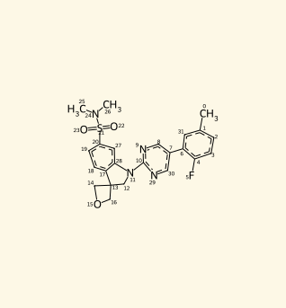 Cc1ccc(F)c(-c2cnc(N3CC4(COC4)c4ccc(S(=O)(=O)N(C)C)cc43)nc2)c1